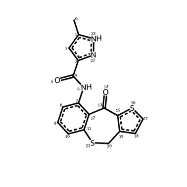 Cc1cc(C(=O)Nc2cccc3c2C(=O)c2sccc2CS3)n[nH]1